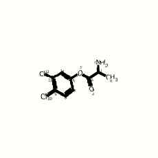 CC(N)C(=O)Oc1ccc(Cl)c(Cl)c1